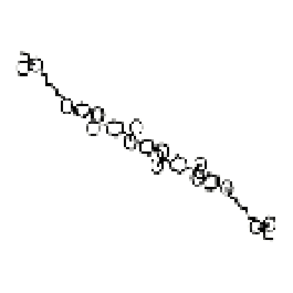 C=CC(=O)OCCCCCCOc1ccc(OC(=O)C2CCC(C(=O)Oc3ccc(OC(=O)C4CCC(C(=O)Oc5ccc(OCCCCCCOC(=O)C=C)cc5)CC4)cc3)CC2)cc1